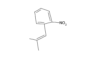 CC(C)=Cc1ccccc1[N+](=O)[O-]